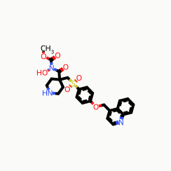 COC(=O)N(O)C(=O)C1(CS(=O)(=O)c2ccc(OCc3ccnc4ccccc34)cc2)CCNCC1